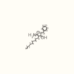 C=CCCCCCCCC(C(N)=O)C(O)CCc1ccccc1